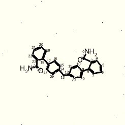 NC(=O)c1ccccc1-c1ccc(Cc2ccc(-c3ccccc3C(N)=O)cc2)cc1